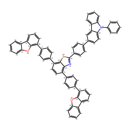 c1ccc(-n2c3ccccc3c3cc(-c4ccc(-c5nc6c(-c7ccc(-c8cccc9c8oc8ccccc89)cc7)ccc(-c7ccc(-c8cccc9c8oc8ccccc89)cc7)c6s5)cc4)ccc32)cc1